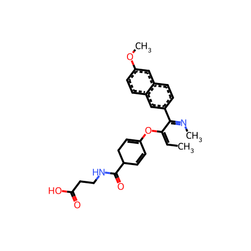 C/C=C(OC1=CCC(C(=O)NCCC(=O)O)C=C1)\C(=N/C)c1ccc2cc(OC)ccc2c1